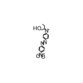 CCC(CO)N(C)c1ccc(/N=N/c2ccc([N+](=O)[O-])cc2)cc1